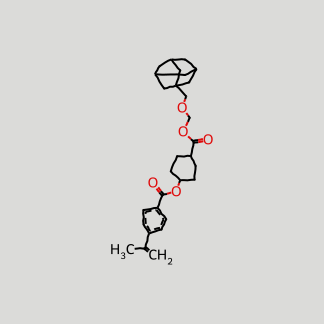 C=C(C)c1ccc(C(=O)OC2CCC(C(=O)OCOCC34CC5CC(CC(C5)C3)C4)CC2)cc1